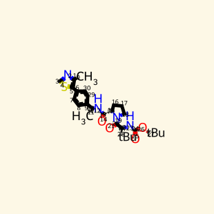 Cc1ncsc1-c1ccc([C@H](C)NC(=O)[C@@H]2CCCN2C(=O)[C@@H](NC(=O)OC(C)(C)C)C(C)(C)C)cc1